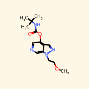 COCCn1ncc2c(OC(=O)NC(C)(C)C)cncc21